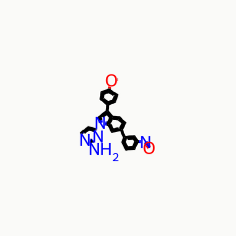 COc1ccc(-c2cn(-c3ccnc(N)n3)c3cc(-c4cccc(N=O)c4)ccc23)cc1